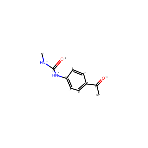 CNC(=O)Nc1ccc(C(C)=O)cc1